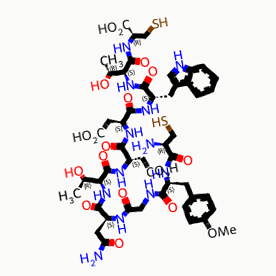 COc1ccc(C[C@H](NC(=O)[C@@H](N)CS)C(=O)NCC(=O)N[C@@H](CC(N)=O)C(=O)N[C@H](C(=O)N[C@@H](CC(=O)O)C(=O)N[C@@H](CC(=O)O)C(=O)N[C@@H](Cc2c[nH]c3ccccc23)C(=O)N[C@H](C(=O)N[C@@H](CS)C(=O)O)[C@@H](C)O)[C@@H](C)O)cc1